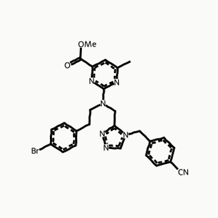 COC(=O)c1cc(C)nc(N(CCc2ccc(Br)cc2)Cc2nncn2Cc2ccc(C#N)cc2)n1